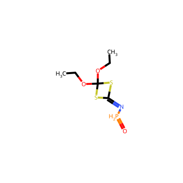 CCOC1(OCC)SC(=N[PH2]=O)S1